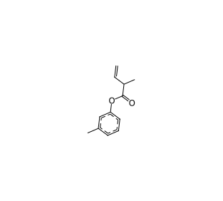 C=CC(C)C(=O)Oc1cccc(C)c1